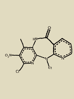 CCN1c2ncccc2C(=O)Nc2c1nc(Cl)c([N+](=O)[O-])c2C